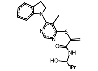 C=C(Sc1ncnc(N2CCc3ccccc32)c1C)C(=O)N[C@H](O)C(C)C